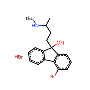 Br.CC(CCC1(O)c2ccccc2-c2c(Br)cccc21)NC(C)(C)C